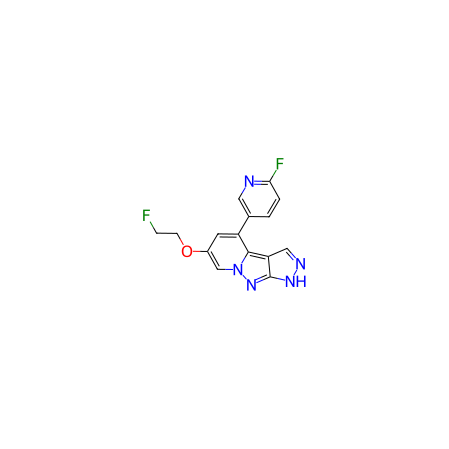 FCCOc1cc(-c2ccc(F)nc2)c2c3cn[nH]c3nn2c1